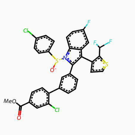 COC(=O)c1ccc(-c2cccc(-c3c(-c4ccsc4C(F)F)c4cc(F)ccc4n3[S+]([O-])c3ccc(Cl)cc3)c2)c(Cl)c1